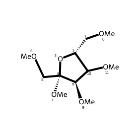 COC[C@H]1O[C@@](COC)(OC)[C@H](OC)C1OC